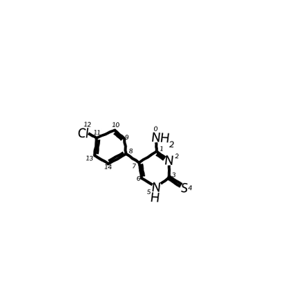 Nc1nc(=S)[nH]cc1-c1ccc(Cl)cc1